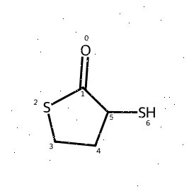 O=C1SCCC1S